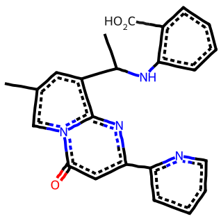 Cc1cc(C(C)Nc2ccccc2C(=O)O)c2nc(-c3ccccn3)cc(=O)n2c1